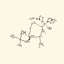 CCC(C)(C)O[C@H]1C[C@H](O)C(C(C)(C)CC)OC1C